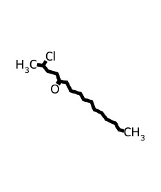 CCCCCCCCCCCC(=O)CCC(C)Cl